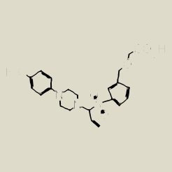 C=CC(N1CCN(c2ccc(C(F)(F)F)cc2)CC1)S(=O)(=O)c1cccc(COCC(=O)O)c1